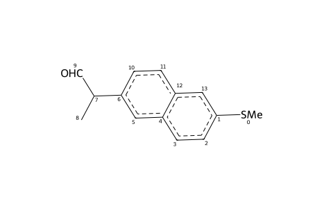 CSc1ccc2cc(C(C)C=O)ccc2c1